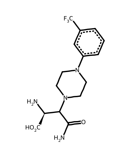 NC(=O)C([C@H](N)C(=O)O)N1CCN(c2cccc(C(F)(F)F)c2)CC1